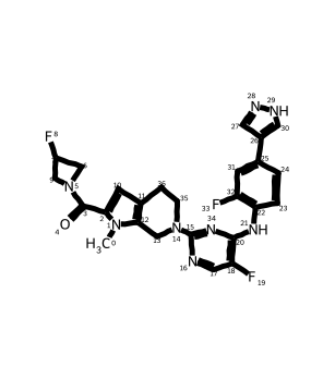 Cn1c(C(=O)N2CC(F)C2)cc2c1CN(c1ncc(F)c(Nc3ccc(-c4cn[nH]c4)cc3F)n1)CC2